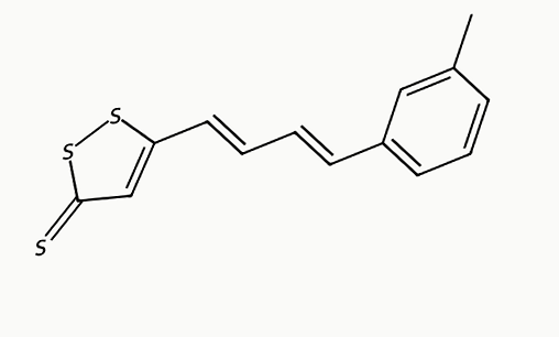 Cc1cccc(C=CC=Cc2cc(=S)ss2)c1